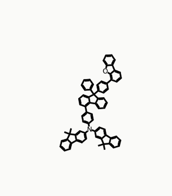 CC1(C)c2ccccc2-c2ccc(N(c3ccc(-c4cccc5c4-c4ccccc4C5(c4ccccc4)c4ccc(-c5cccc6c5oc5ccccc56)cc4)cc3)c3ccc4c(c3)C(C)(C)c3ccccc3-4)cc21